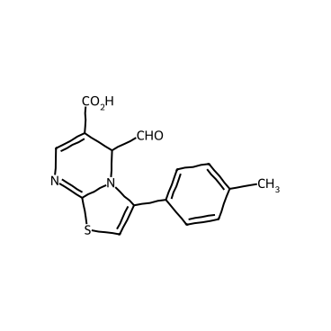 Cc1ccc(C2=CSC3=NC=C(C(=O)O)C(C=O)N23)cc1